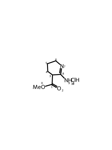 COC(=O)C1CCCN=C1N.Cl